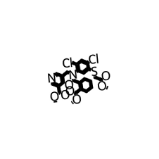 COC(=O)CSc1cc(N(Cc2cncc(C(=O)OC)c2)C(=O)C2=C(C(=O)OC)CCCC2)c(Cl)cc1Cl